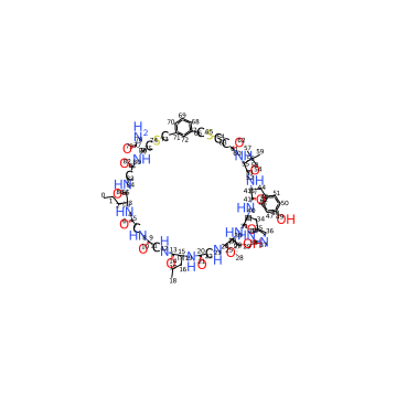 CCC[C@@H]1NC(=O)CNC(=O)CNC(=O)[C@H](CCC)NC(=O)CNC(=O)[C@H]([C@@H](C)O)NC(=O)[C@H](Cc2cnc[nH]2)NC(=O)[C@H](Cc2ccc(O)cc2)NC(=O)C(C(C)(C)C)NC(=O)CCSCc2cccc(c2)CSC[C@@H](C(N)=O)NC(=O)CNC1=O